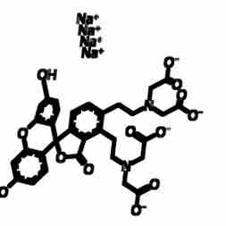 O=C([O-])CN(CCc1ccc2c(c1CCN(CC(=O)[O-])CC(=O)[O-])C(=O)OC21c2ccc(O)cc2Oc2cc(O)ccc21)CC(=O)[O-].[Na+].[Na+].[Na+].[Na+]